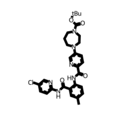 Cc1ccc(NC(=O)c2ccc(N3CCCN(C(=O)OC(C)(C)C)CC3)cn2)c(C(=O)Nc2ccc(Cl)cn2)c1